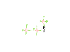 CCC.F[B-](F)(F)F.F[B-](F)(F)F.F[B-](F)(F)F